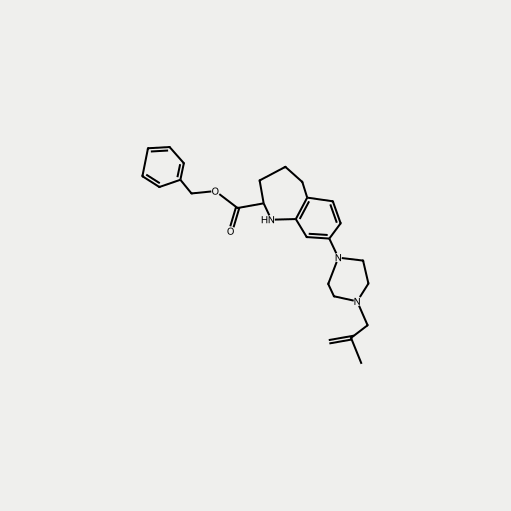 C=C(C)CN1CCN(c2ccc3c(c2)NC(C(=O)OCc2ccccc2)CCC3)CC1